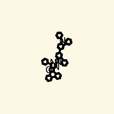 c1ccc(-c2nc(-n3c4ccccc4c4cc(-c5ccc6c(c5)c5ccccc5n6-c5ccccc5)ccc43)nc3c2oc2c4ccccc4c4ccccc4c32)cc1